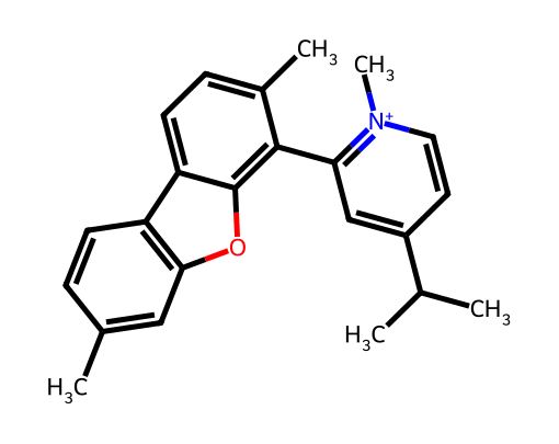 Cc1ccc2c(c1)oc1c(-c3cc(C(C)C)cc[n+]3C)c(C)ccc12